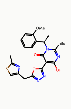 CCCCc1nc(O)c(-c2nnc(Cc3csc(C)n3)o2)c(=O)n1[C@H](C)c1ccccc1OC